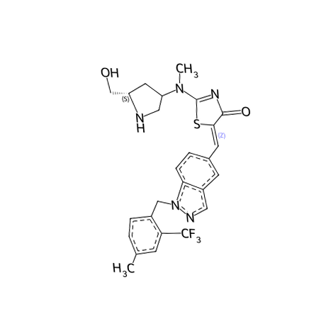 Cc1ccc(Cn2ncc3cc(/C=C4\SC(N(C)C5CN[C@H](CO)C5)=NC4=O)ccc32)c(C(F)(F)F)c1